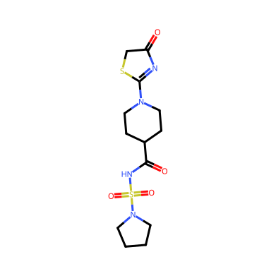 O=C1CSC(N2CCC(C(=O)NS(=O)(=O)N3CCCC3)CC2)=N1